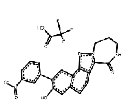 O=C(O)C(F)(F)F.O=C1NCCCn2nc3c(ccc4cc(O)c(-c5cccc([N+](=O)[O-])c5)cc43)c21